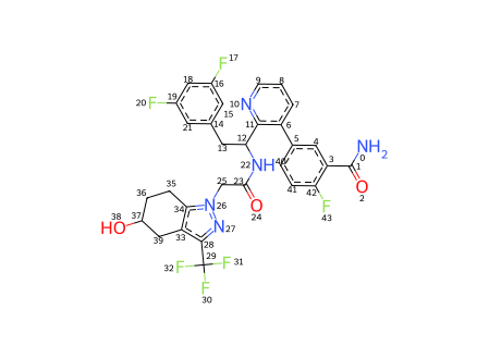 NC(=O)c1cc(-c2cccnc2C(Cc2cc(F)cc(F)c2)NC(=O)Cn2nc(C(F)(F)F)c3c2CCC(O)C3)ccc1F